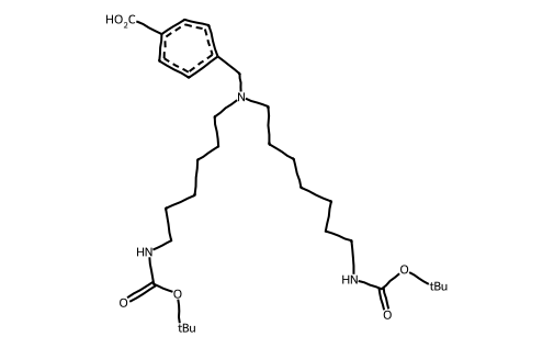 CC(C)(C)OC(=O)NCCCCCCCN(CCCCCCNC(=O)OC(C)(C)C)Cc1ccc(C(=O)O)cc1